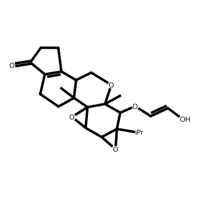 CC(C)C12OC1C1OC13C1(C)CCC4=C(CCC4=O)C1COC3(C)C2OC=CO